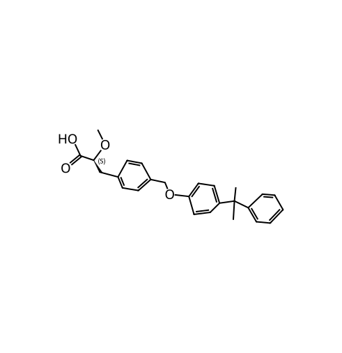 CO[C@@H](Cc1ccc(COc2ccc(C(C)(C)c3ccccc3)cc2)cc1)C(=O)O